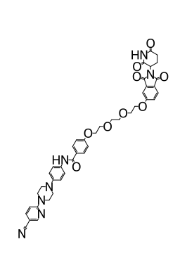 N#Cc1ccc(N2CCN(c3ccc(NC(=O)c4ccc(OCCOCCOCCOc5ccc6c(c5)C(=O)N(C5CCC(=O)NC5=O)C6=O)cc4)cc3)CC2)nc1